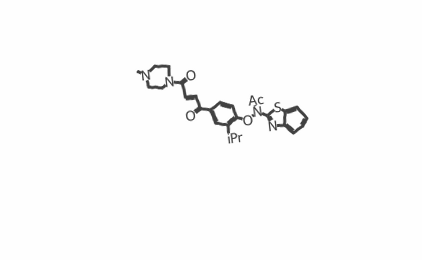 CC(=O)N(Oc1ccc(C(=O)C=CC(=O)N2CCN(C)CC2)cc1C(C)C)c1nc2ccccc2s1